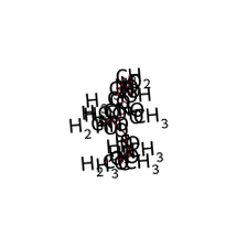 C=CCOC(=O)NC(C(=O)NC(C)C(=O)Nc1ccc(COC(=O)Nc2cc(OCc3cc(C(=O)OC)cc(COc4cc5c(cc4OC)C(=O)N4CC(=C)C[C@H]4[C@H](OC4CCCCO4)N5C(=O)O)n3)c(OC)cc2C(=O)N2CC(=C)C[C@H]2CO)cc1)C(C)C